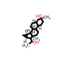 CC(O)C1[C@H]2C[C@H]2[C@H]2[C@@H]3CC[C@@H]4C[C@](C)(O)CC[C@@H]4[C@H]3CC[C@]12C